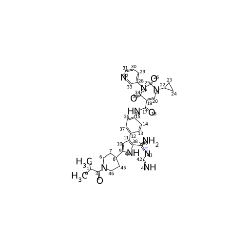 CC(C)C(=O)N1CCC(c2cc(-c3ccc(NC(=O)c4cn(C5CC5)c(=O)n(-c5cccnc5)c4=O)cc3)c(/C(N)=N\C=N)[nH]2)CC1